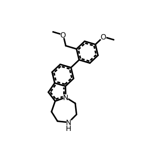 COCc1cc(OC)ccc1-c1ccc2cc3n(c2c1)CCNCC3